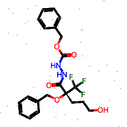 O=C(NNC(=O)[C@@](CCCO)(OCc1ccccc1)C(F)(F)F)OCc1ccccc1